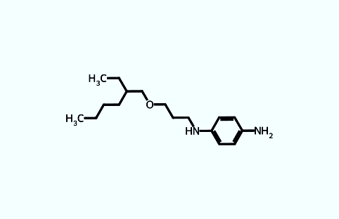 CCCCC(CC)COCCCNc1ccc(N)cc1